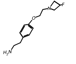 NCCc1ccc(OCCN2CC(F)C2)cc1